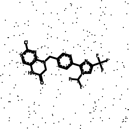 O=C1CN(Cc2ccc(-c3nc(C(F)(F)F)cn3C(F)F)cc2)c2nc(Cl)ncc2N1